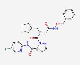 O=C(C[C@@H](CC1CCCC1)C(=O)N1N=CC[C@H]1C(=O)Nc1ccc(F)cn1)NOCc1ccccc1